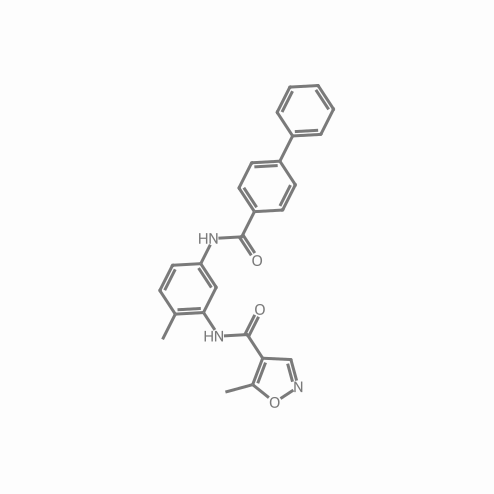 Cc1ccc(NC(=O)c2ccc(-c3ccccc3)cc2)cc1NC(=O)c1cnoc1C